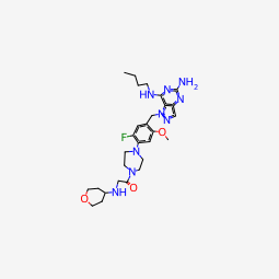 CCCCNc1nc(N)nc2cnn(Cc3cc(F)c(N4CCN(C(=O)CNC5CCOCC5)CC4)cc3OC)c12